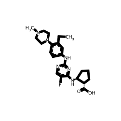 CCc1cc(Nc2ncc(F)c(N[C@H]3CCC[C@@H]3C(=O)O)n2)ccc1N1CCN(C)CC1